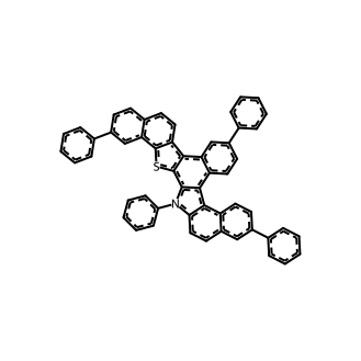 c1ccc(-c2ccc3c(ccc4c3c3c5ccc(-c6ccccc6)cc5c5c6ccc7ccc(-c8ccccc8)cc7c6sc5c3n4-c3ccccc3)c2)cc1